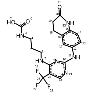 O=C(O)NCCCNc1nc(Nc2ccc3c(c2)CCC(=O)N3)ncc1C(F)(F)F